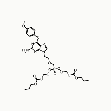 CCCOC(=O)OCOOP(=O)(COCCn1cnc2c(Sc3ccc(OC)cc3)nc(N)nc21)OOCOC(=O)OCCC